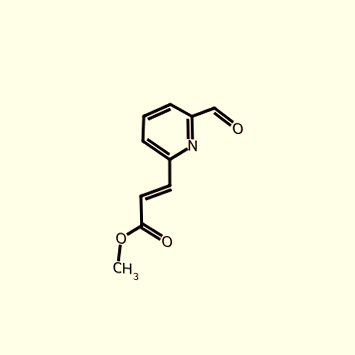 COC(=O)/C=C/c1cccc(C=O)n1